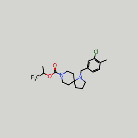 Cc1ccc(CN2CCCC23CCN(C(=O)OC(C)C(F)(F)F)CC3)cc1Cl